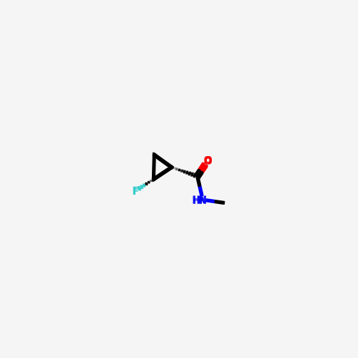 CNC(=O)[C@H]1C[C@H]1F